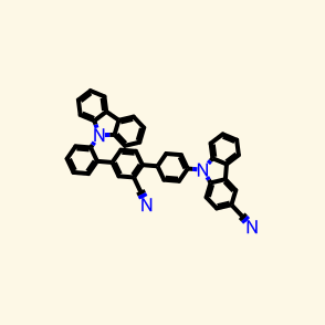 N#Cc1ccc2c(c1)c1ccccc1n2C1=CCC(c2ccc(-c3ccccc3-n3c4ccccc4c4ccccc43)cc2C#N)C=C1